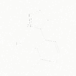 Br.C=CC(CC(C)O)c1ncc[nH]1